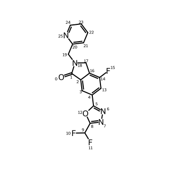 O=C1c2cc(-c3nnc(C(F)F)o3)cc(F)c2CN1Cc1ccccn1